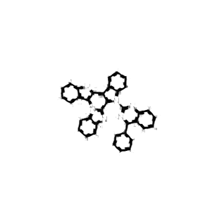 c1ccc(-c2nc(-n3c4ccccc4c4c5oc6ccccc6c5n5c6ccccc6nc5c43)nc3ccccc23)cc1